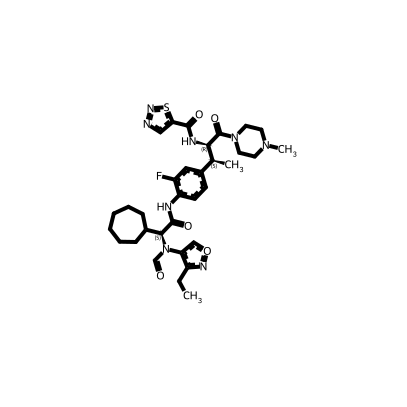 CCc1nocc1N(C=O)[C@H](C(=O)Nc1ccc([C@H](C)[C@@H](NC(=O)c2cnns2)C(=O)N2CCN(C)CC2)cc1F)C1CCCCCC1